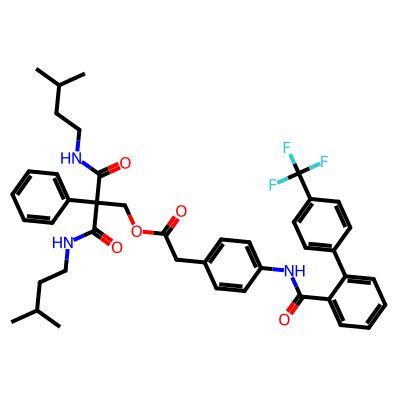 CC(C)CCNC(=O)C(COC(=O)Cc1ccc(NC(=O)c2ccccc2-c2ccc(C(F)(F)F)cc2)cc1)(C(=O)NCCC(C)C)c1ccccc1